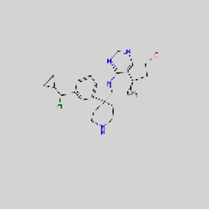 C[C@@H]1C[C@@H](O)c2ncnc(N3CC4(CCNCC4)c4cc(C(Cl)C5CC5)ccc43)c21